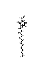 CCCCCCCCCCCCCn1cc[n+](CC)c1C